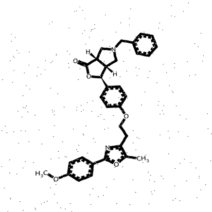 COc1ccc(-c2nc(CCOc3ccc([C@H]4OC(=O)[C@@H]5CN(Cc6ccccc6)C[C@H]45)cc3)c(C)o2)cc1